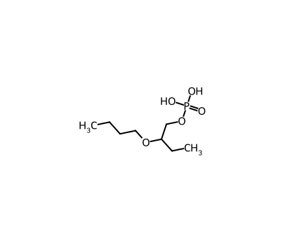 CCCCOC(CC)COP(=O)(O)O